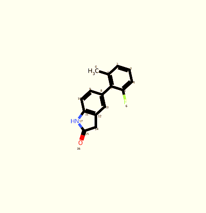 Cc1cccc(F)c1-c1ccc2c(c1)CC(=O)N2